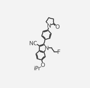 CC(C)Oc1ccc2c(C#N)c(-c3ccc(N4CCCC4=O)cc3)n(CCF)c2c1